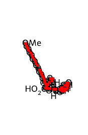 CCC(=O)O[C@]1(C(=O)COCNC(=O)CNC(=O)CNC(=O)[C@H](CCC(=O)O)NC(=O)[C@H](CCC(=O)NCCOCCOCCOCCOCCOCCOCCOCCOCCOCCOCCOCCOC)NC(=O)CCN2C(=O)C=CC2=O)[C@@H](C)C[C@H]2[C@@H]3CCC4=CC(=O)C=C[C@]4(C)[C@@]3(Cl)[C@@H](O)C[C@@]21C